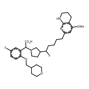 COc1cc(CCCCC(F)C2CCN(C(C(=O)O)c3cc(F)ccc3OCC3CCOCC3)C2)nc2c1CCCN2